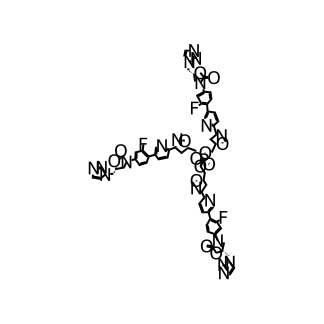 O=C1O[C@@H](Cn2ccnn2)CN1c1ccc(-c2ccc(C3=NOC(COP(=O)(OCC4CC(c5ccc(-c6ccc(N7C[C@H](Cn8ccnn8)OC7=O)cc6F)cn5)=NO4)OCC4CC(c5ccc(-c6ccc(N7C[C@H](Cn8ccnn8)OC7=O)cc6F)cn5)=NO4)C3)nc2)c(F)c1